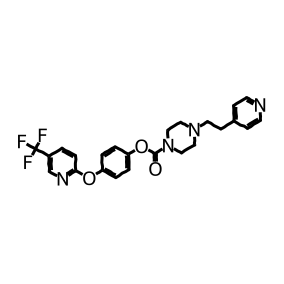 O=C(Oc1ccc(Oc2ccc(C(F)(F)F)cn2)cc1)N1CCN(CCc2ccncc2)CC1